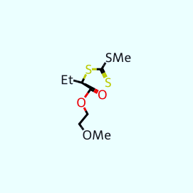 CCC(SC(=S)SC)C(=O)OCCOC